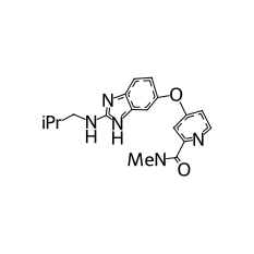 CNC(=O)c1cc(Oc2ccc3nc(NCC(C)C)[nH]c3c2)ccn1